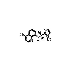 CCn1ccnc1S(=O)(=O)Nc1cccc2c(Cl)ccnc12